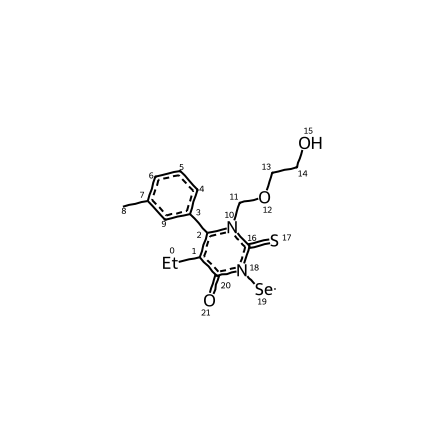 CCc1c(-c2cccc(C)c2)n(COCCO)c(=S)n([Se])c1=O